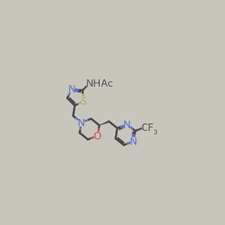 CC(=O)Nc1ncc(CN2CCO[C@H](Cc3ccnc(C(F)(F)F)n3)C2)s1